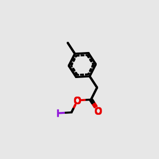 Cc1ccc(CC(=O)OCI)cc1